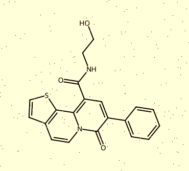 O=C(NCCO)c1cc(-c2ccccc2)c(=O)n2ccc3ccsc3c12